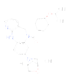 CC(C)O[C@H]1CC[C@H](C(=O)N2Cc3cccnc3Nc3ccc(N4C[C@]5(C)C[C@H]4CO5)cc32)CC1